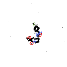 Cc1occc1C(=O)N1CCC[C@H](c2nc(-c3ccc(F)cc3)no2)C1